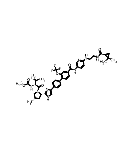 COC(=O)N[C@H](C(=O)N1C[C@@H](C)C[C@H]1c1nc(-c2ccc(-c3ccc(C(=O)Nc4ccc(NCCNC(=O)[C@H]5CC5(C)C)nc4)cc3OC(F)(F)F)cc2)c[nH]1)C(C)C